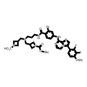 CCc1cc(Nc2nccn3c(-c4ccc(OC)c(F)c4F)cnc23)ccc1C(=O)NCCCN(CC1CN(C(=O)O)C1)CC1CN(C(=O)OC(C)(C)C)C1